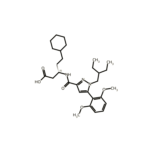 CCC(CC)Cn1nc(C(=O)N[C@@H](CCC2CCCCC2)CC(=O)O)cc1-c1c(OC)cccc1OC